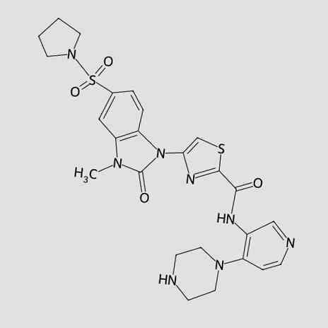 Cn1c(=O)n(-c2csc(C(=O)Nc3cnccc3N3CCNCC3)n2)c2ccc(S(=O)(=O)N3CCCC3)cc21